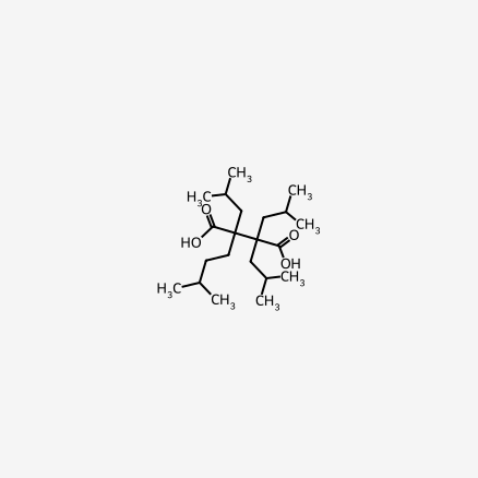 CC(C)CCC(CC(C)C)(C(=O)O)C(CC(C)C)(CC(C)C)C(=O)O